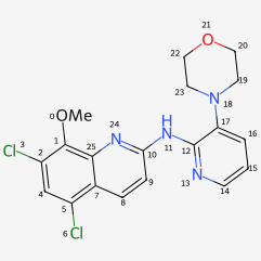 COc1c(Cl)cc(Cl)c2ccc(Nc3ncccc3N3CCOCC3)nc12